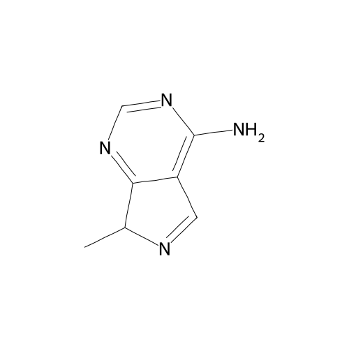 CC1N=Cc2c(N)ncnc21